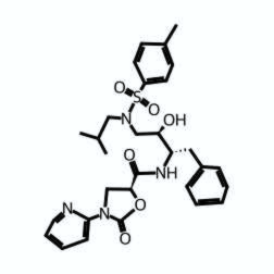 Cc1ccc(S(=O)(=O)N(CC(C)C)C[C@@H](O)[C@H](Cc2ccccc2)NC(=O)[C@@H]2CN(c3ccccn3)C(=O)O2)cc1